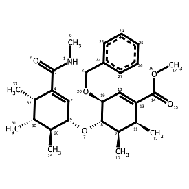 CNC(=O)C1=C[C@H](O[C@H]2[C@H](C)[C@H](C)C(C(=O)OC)=C[C@@H]2OCc2ccccc2)[C@@H](C)[C@H](C)[C@@H]1C